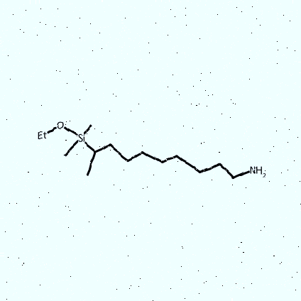 CCO[Si](C)(C)C(C)CCCCCCCCN